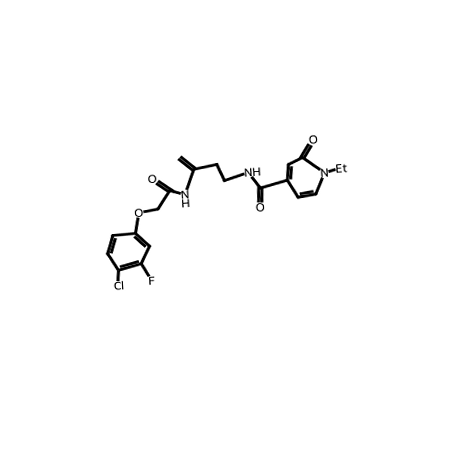 C=C(CCNC(=O)c1ccn(CC)c(=O)c1)NC(=O)COc1ccc(Cl)c(F)c1